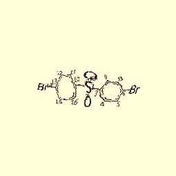 O=S(=O)(c1ccc(Br)cc1)c1ccc(Br)cc1